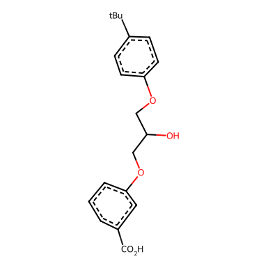 CC(C)(C)c1ccc(OCC(O)COc2cccc(C(=O)O)c2)cc1